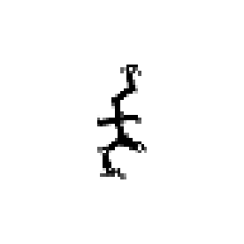 CC(C)(CCC(F)(F)F)C(=O)O[SiH3]